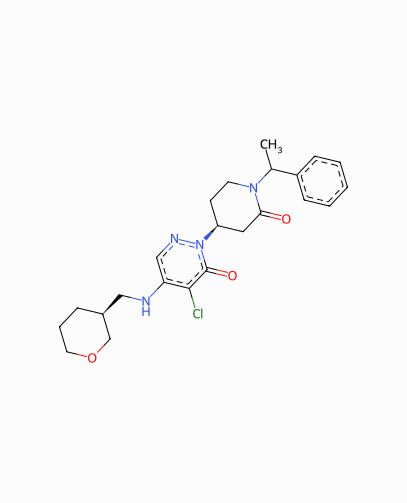 CC(c1ccccc1)N1CC[C@H](n2ncc(NC[C@@H]3CCCOC3)c(Cl)c2=O)CC1=O